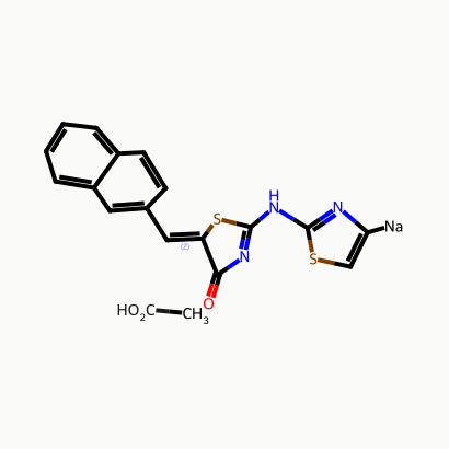 CC(=O)O.O=C1N=C(Nc2n[c]([Na])cs2)S/C1=C\c1ccc2ccccc2c1